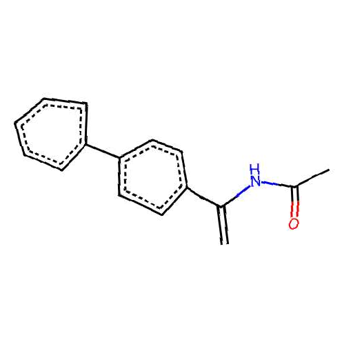 C=C(NC(C)=O)c1ccc(-c2ccccc2)cc1